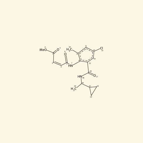 COC(=O)/C=C\C(=O)Nc1c(C)cc(Cl)cc1C(=O)NC(C)C1CC1